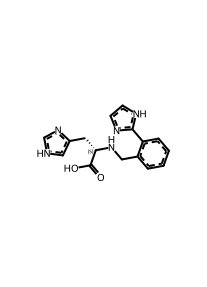 O=C(O)[C@H](Cc1c[nH]cn1)NCc1ccccc1-c1ncc[nH]1